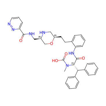 CN(C(=O)O)[C@H](C(=O)Nc1ccccc1CC[C@@H]1CN[C@H](CNC(=O)c2cccnn2)CO1)C(c1ccccc1)c1ccccc1